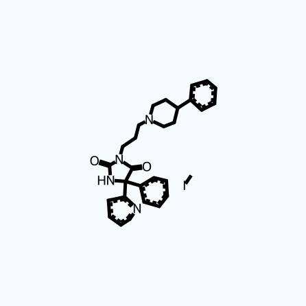 CI.O=C1NC(c2ccccc2)(c2ccccn2)C(=O)N1CCCN1CCC(c2ccccc2)CC1